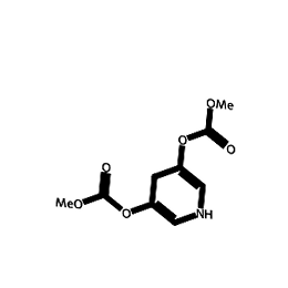 COC(=O)OC1=CNC=C(OC(=O)OC)C1